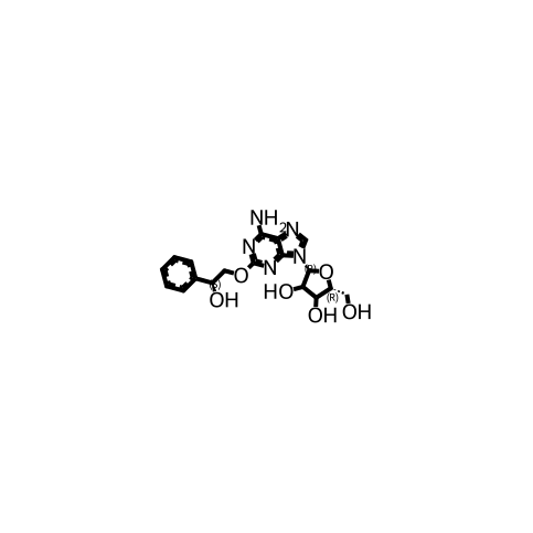 Nc1nc(OC[C@@H](O)c2ccccc2)nc2c1ncn2[C@@H]1O[C@H](CO)C(O)C1O